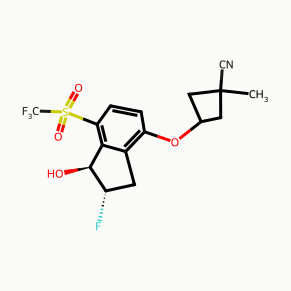 CC1(C#N)CC(Oc2ccc(S(=O)(=O)C(F)(F)F)c3c2C[C@H](F)[C@H]3O)C1